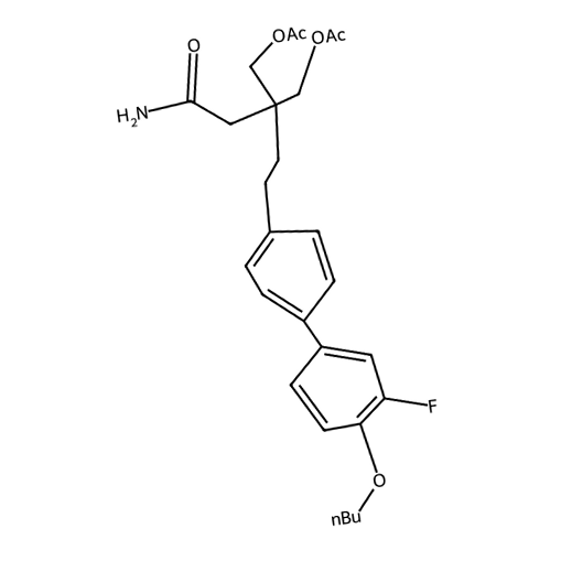 CCCCOc1ccc(-c2ccc(CCC(COC(C)=O)(COC(C)=O)CC(N)=O)cc2)cc1F